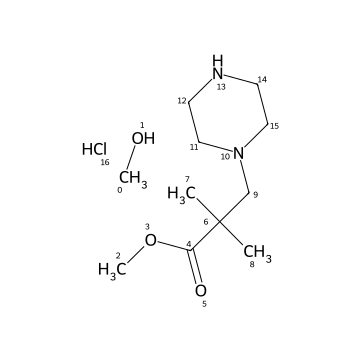 CO.COC(=O)C(C)(C)CN1CCNCC1.Cl